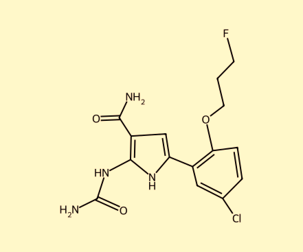 NC(=O)Nc1[nH]c(-c2cc(Cl)ccc2OCCCF)cc1C(N)=O